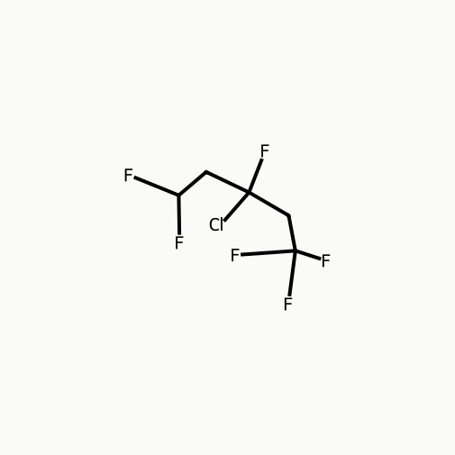 FC(F)CC(F)(Cl)CC(F)(F)F